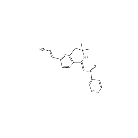 CC1(C)Cc2cc(C=NO)ccc2/C(=C/C(=O)c2ccccc2)N1